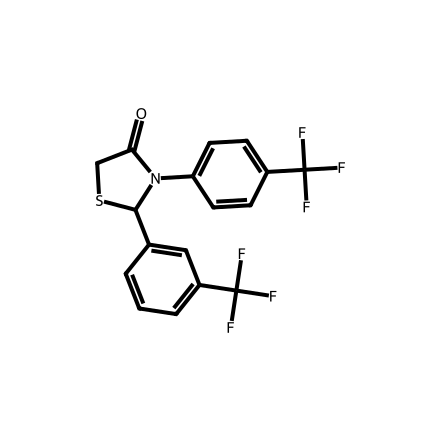 O=C1CSC(c2cccc(C(F)(F)F)c2)N1c1ccc(C(F)(F)F)cc1